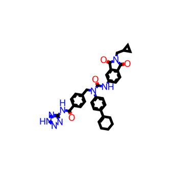 O=C(Nc1nn[nH]n1)c1ccc(CN(C(=O)Nc2ccc3c(c2)C(=O)N(CC2CC2)C3=O)c2ccc(C3=CCCCC3)cc2)cc1